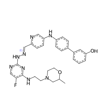 CC1CN(CCNc2nc(N/N=C/c3ccc(Nc4ccc(-c5cccc(O)c5)cc4)cn3)ncc2F)CCO1